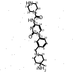 CC1(N)CCN(Cc2cccc(-n3ccc(NC(=O)N4CCNCC4)nc3=O)c2)CC1